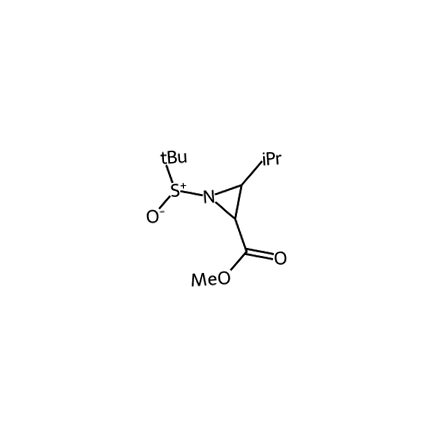 COC(=O)C1C(C(C)C)N1[S+]([O-])C(C)(C)C